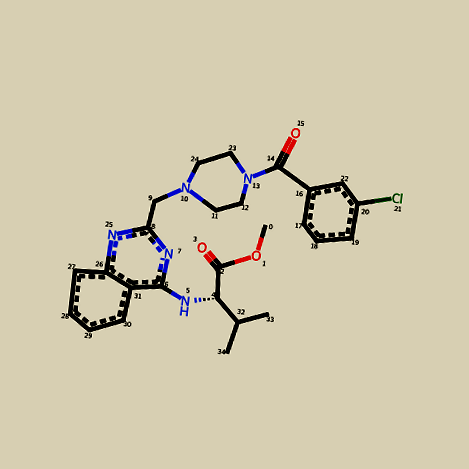 COC(=O)[C@@H](Nc1nc(CN2CCN(C(=O)c3cccc(Cl)c3)CC2)nc2ccccc12)C(C)C